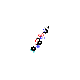 Cc1cccc(COC(=O)N[C@H]2CCOc3c(C(=O)Nc4ccc(F)c(F)c4)cccc32)n1